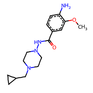 COc1cc(C(=O)NN2CCN(CC3CC3)CC2)ccc1N